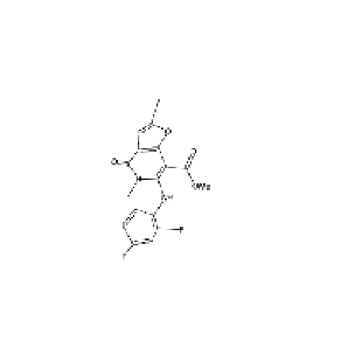 COC(=O)c1c(Nc2ccc(I)cc2F)n(C)c(=O)c2cc(C)oc12